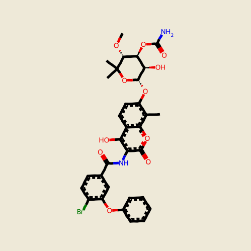 CO[C@@H]1[C@@H](OC(N)=O)[C@@H](O)[C@H](Oc2ccc3c(O)c(NC(=O)c4ccc(Br)c(Oc5ccccc5)c4)c(=O)oc3c2C)OC1(C)C